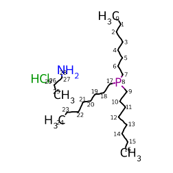 CCCCCCCCP(CCCCCCCC)CCCCCCCC.CCCN.Cl